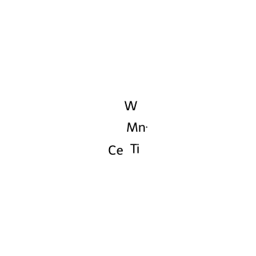 [Ce].[Mn].[Ti].[W]